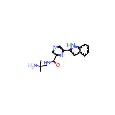 CC(C)(N)CNC(=O)c1cncc(-c2cc3ccccc3[nH]2)n1